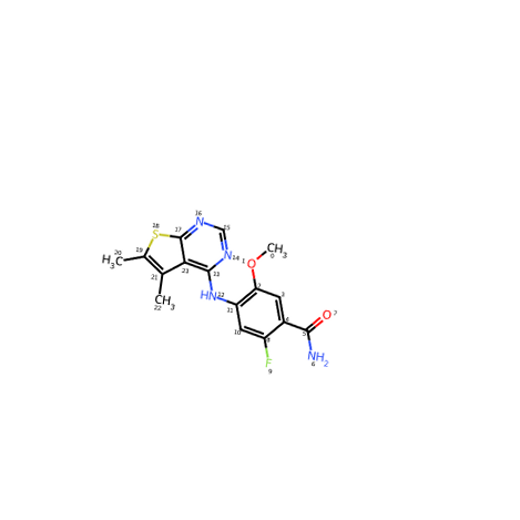 COc1cc(C(N)=O)c(F)cc1Nc1ncnc2sc(C)c(C)c12